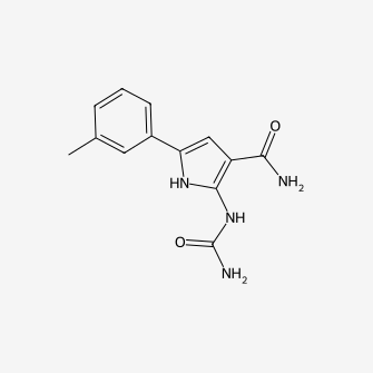 Cc1cccc(-c2cc(C(N)=O)c(NC(N)=O)[nH]2)c1